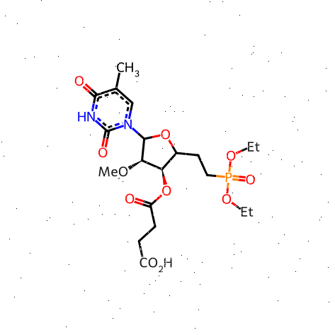 CCOP(=O)(CCC1OC(n2cc(C)c(=O)[nH]c2=O)[C@H](OC)[C@@H]1OC(=O)CCC(=O)O)OCC